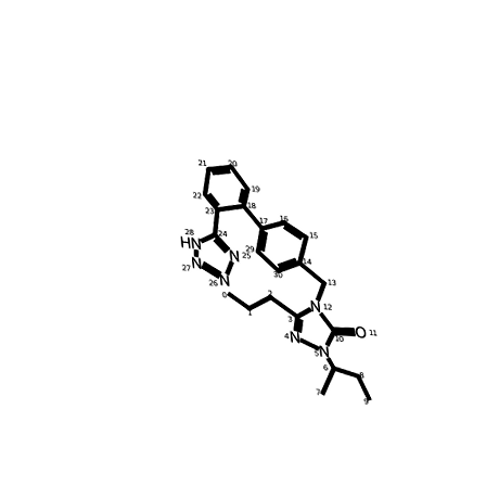 CCCc1nn(C(C)CC)c(=O)n1Cc1ccc(-c2ccccc2-c2nnn[nH]2)cc1